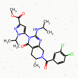 COC(=O)c1cc(-n2c(NC(C)C)nc3c(c2=O)C[C@@H](C)N(C(=O)c2ccc(Cl)c(Cl)c2)C3)n(C(C)C)n1